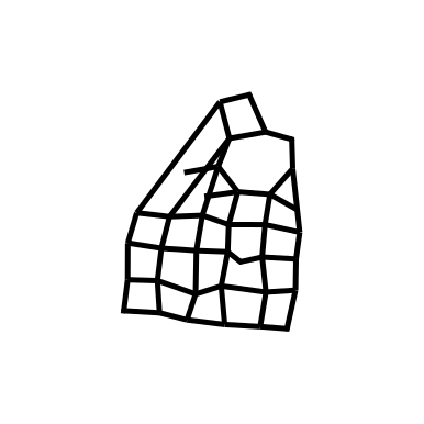 CC12C3CC4CC5C6C7C8CC9C%10C%11C%12CC%13C%14C3C13C%141CC%14%15C%11(C%13%121)C%101C98C78C67C45C4(C)C2(C)C%143C47C%1518